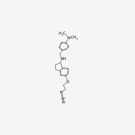 CN(C)c1ccc(CNC2CCc3cc(OCCN=[N+]=[N-])ccc32)cc1